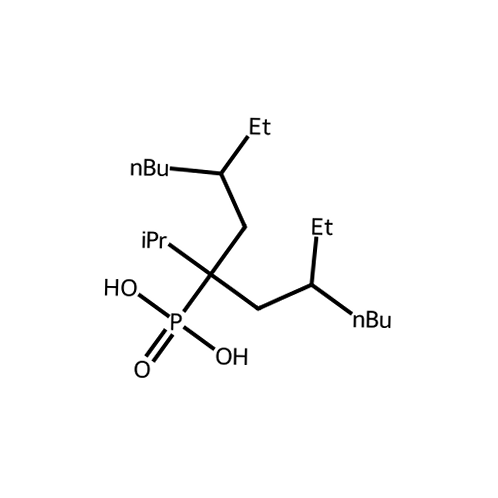 CCCCC(CC)CC(CC(CC)CCCC)(C(C)C)P(=O)(O)O